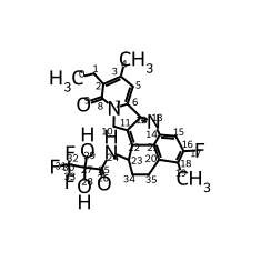 CCc1c(C)cc2n(c1=O)Cc1c-2nc2cc(F)c(C)c3c2c1C(NC(=O)C(O)(O)C(F)(F)F)CC3